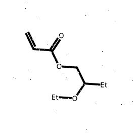 C=CC(=O)OCC(CC)OCC